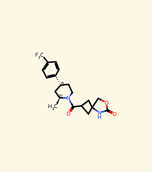 C[C@H]1C[C@H](c2ccc(C(F)(F)F)cc2)CCN1C(=O)C1CC2(COC(=O)N2)C1